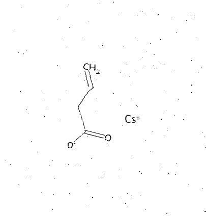 C=CCC(=O)[O-].[Cs+]